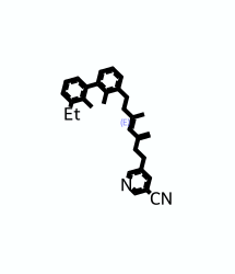 C=C(/C=C(\C)CCc1cccc(-c2cccc(CC)c2C)c1C)CCc1cncc(C#N)c1